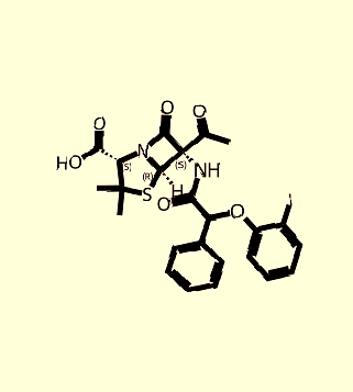 CC(=O)[C@]1(NC(=O)C(Oc2ccccc2I)c2ccccc2)C(=O)N2[C@@H](C(=O)O)C(C)(C)S[C@@H]21